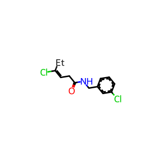 CC/C(Cl)=C\CC(=O)NCc1cccc(Cl)c1